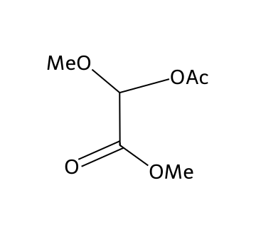 COC(=O)C(OC)OC(C)=O